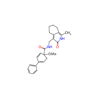 COC1(C(=O)NCc2c3c(c(C)[nH]c2=O)CCCC3)C=CC(c2ccccc2)=CC1